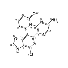 Nc1cnc(-c2cc(Cl)c3ncoc3c2)c(-n2ccccc2=O)n1